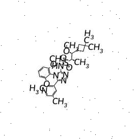 COc1cccc(OC)c1-n1c(NS(=O)(=O)[C@H](C)[C@@H](OC)C2CC(C)(C)C2)nnc1-c1cncc(C)c1